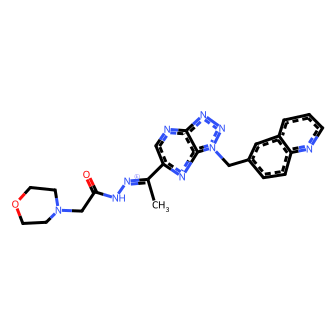 C/C(=N\NC(=O)CN1CCOCC1)c1cnc2nnn(Cc3ccc4ncccc4c3)c2n1